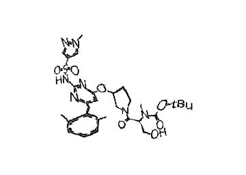 Cc1cccc(C)c1-c1cc(OC2CCN(C(=O)[C@H](CO)N(C)C(=O)OC(C)(C)C)C2)nc(NS(=O)(=O)c2cnn(C)c2)n1